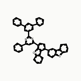 c1ccc(-c2cc(-c3ccccc3)cc(-c3nc(-c4ccccc4)cc(-c4ccc(-c5ccc6sc7ccccc7c6c5)c5c4oc4ccccc45)n3)c2)cc1